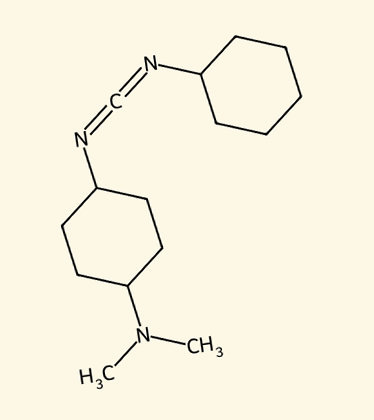 CN(C)C1CCC(N=C=NC2CCCCC2)CC1